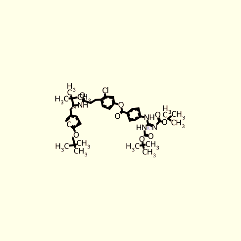 CC(C)(C)COc1ccc(C[C@H](NC(=O)CCc2ccc(OC(=O)c3ccc(N/C(=N\C(=O)OC(C)(C)C)NC(=O)OC(C)(C)C)cc3)cc2Cl)C(C)(C)C)cc1